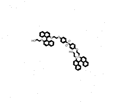 O=S(=O)(c1ccc(OCCOc2ccc3ccccc3c2-c2c(OCCO)ccc3ccccc23)cc1)c1ccc(OCCOc2ccc3ccccc3c2-c2c(OCCO)ccc3ccccc23)cc1